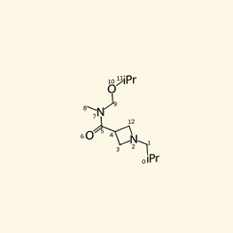 CC(C)CN1CC(C(=O)N(C)COC(C)C)C1